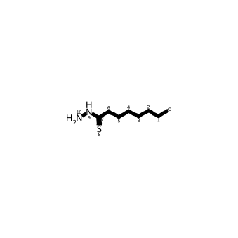 CCCCCCCC(=S)NN